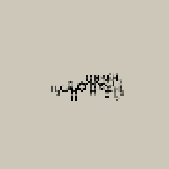 C=CC(=O)Nc1ccc(C(=O)NC(=N)C2=C(NC)C(C)(C)N(C)C2)cc1